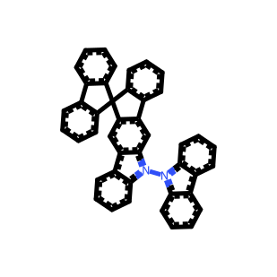 c1ccc2c(c1)-c1ccccc1C21c2ccccc2-c2cc3c(cc21)c1ccccc1n3-n1c2ccccc2c2ccccc21